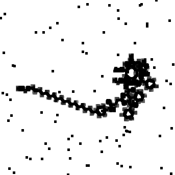 CC(=O)O[C@H]1C(=O)[C@@]2(C)[C@H]([C@H](OC(=O)c3ccccc3)[C@]3(O)C[C@H](OC(=O)[C@H](OC(=O)CCC(=O)Nc4ccc(CCCCCCCCCCCCCCCCCCC(=O)O)cc4)[C@@H](NC(=O)c4ccccc4)c4ccccc4)C(C)=C1C3(C)C)[C@]1(OC(C)=O)CO[C@@H]1C[C@@H]2O